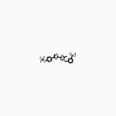 COC(=O)c1cccc(Cn2nc(-c3nc(-c4ccc(OC(F)(F)F)cc4)cs3)nc2C)c1